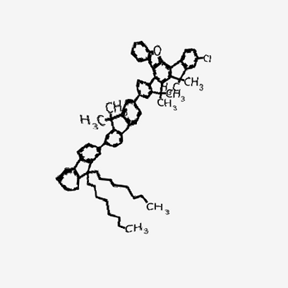 CCCCCCCCC1(CCCCCCCC)c2ccccc2-c2ccc(-c3ccc4c(c3)C(C)(C)c3cc(-c5ccc6c(c5)C(C)(C)c5c7c(c8oc9ccccc9c8c5-6)-c5ccc(Cl)cc5C7(C)C)ccc3-4)cc21